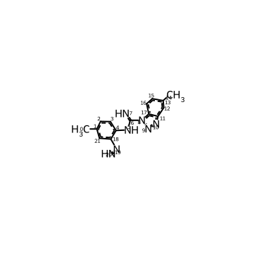 Cc1ccc(NC(=N)n2nnc3cc(C)ccc32)c(N=N)c1